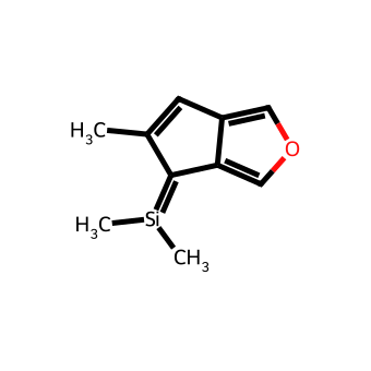 CC1=Cc2cocc2C1=[Si](C)C